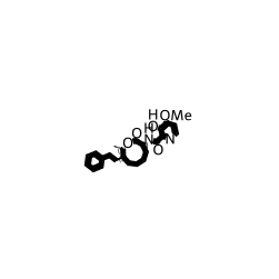 COc1ccnc(C(=O)N[C@H]2CCCC[C@@H](CCc3ccccc3)[C@H](C)OC2=O)c1O